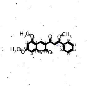 CO/C(=C\C(=O)c1cc2c(OC)cc(OC)cc2sc1=O)c1ccccc1